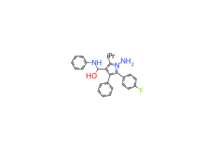 CC(C)c1c(C(O)Nc2ccccc2)c(-c2ccccc2)c(-c2ccc(F)cc2)n1N